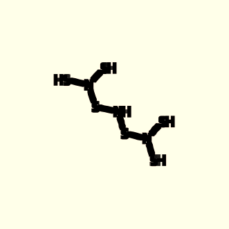 SN(S)SNSN(S)S